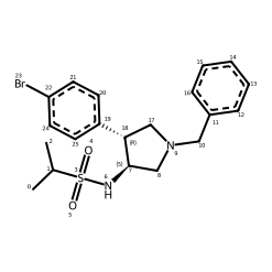 CC(C)S(=O)(=O)N[C@@H]1CN(Cc2ccccc2)C[C@H]1c1ccc(Br)cc1